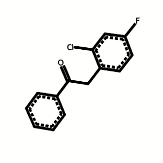 O=C(Cc1ccc(F)cc1Cl)c1ccccc1